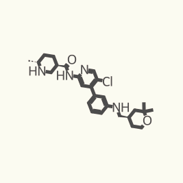 C[C@@H]1CC[C@@H](C(=O)Nc2cc(-c3cccc(NC[C@@H]4CCOC(C)(C)C4)c3)c(Cl)cn2)CN1